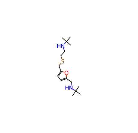 CC(C)(C)NCCSCc1ccc(CNC(C)(C)C)o1